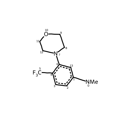 CNc1ccc(C(F)(F)F)c(N2CCOCC2)c1